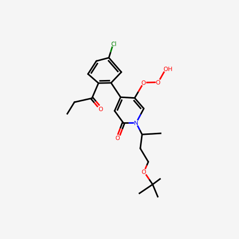 CCC(=O)c1ccc(Cl)cc1-c1cc(=O)n(C(C)CCOC(C)(C)C)cc1OOO